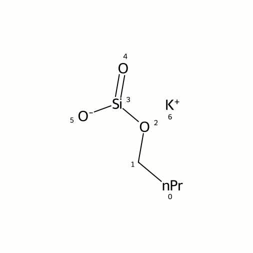 CCCCO[Si](=O)[O-].[K+]